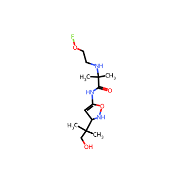 CC(C)(NCCOF)C(=O)NC1=CC(C(C)(C)CO)NO1